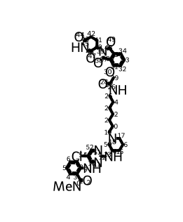 CNC(=O)c1ccccc1Nc1nc(N[C@@H]2CCCN(CCCCCCCNC(=O)COc3cccc4c3C(=O)N(C3CCC(=O)NC3=O)C4=O)C2)ncc1Cl